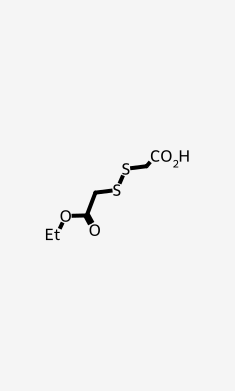 CCOC(=O)CSSCC(=O)O